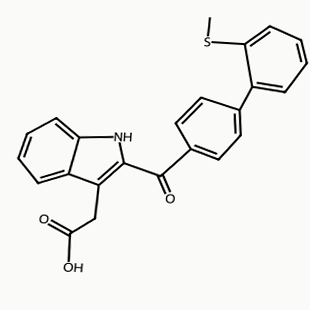 CSc1ccccc1-c1ccc(C(=O)c2[nH]c3ccccc3c2CC(=O)O)cc1